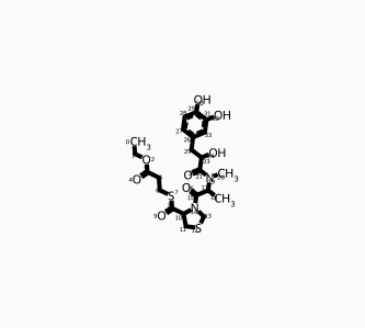 CCOC(=O)CCSC(=O)C1CSCN1C(=O)C(C)N(C)C(=O)C(O)Cc1ccc(O)c(O)c1